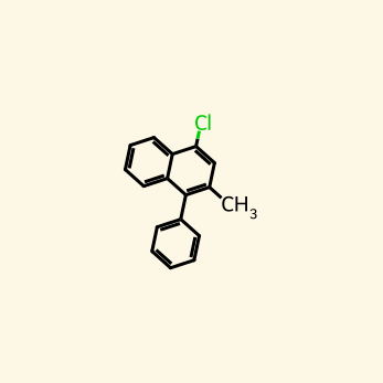 Cc1cc(Cl)c2ccccc2c1-c1ccccc1